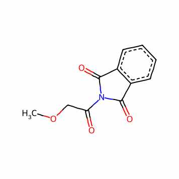 COCC(=O)N1C(=O)c2ccccc2C1=O